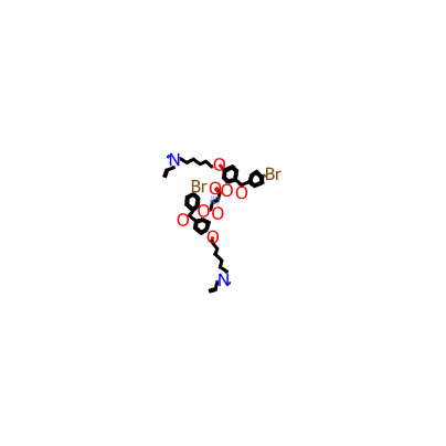 C=CCN(C)CCCCCCOc1ccc(C(=O)c2ccc(Br)cc2)c(OC(=O)/C=C/C(=O)Oc2cc(OCCCCCCN(C)CC=C)ccc2C(=O)c2ccc(Br)cc2)c1